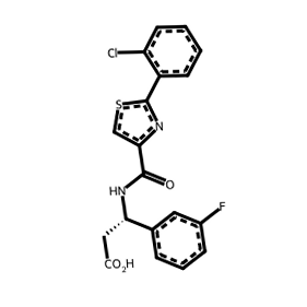 O=C(O)C[C@H](NC(=O)c1csc(-c2ccccc2Cl)n1)c1cccc(F)c1